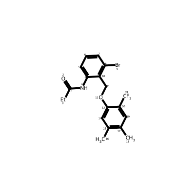 CCC(=O)Nc1cccc(Br)c1COc1cc(C)c(C)cc1C(F)(F)F